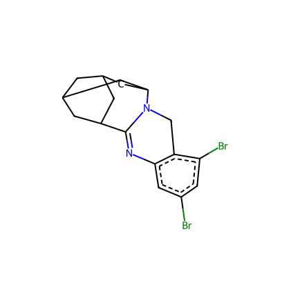 Brc1cc(Br)c2c(c1)N=C1C3CC4CC(C3)CC(C4)N1C2